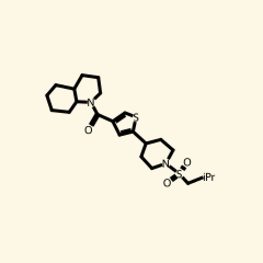 CC(C)CS(=O)(=O)N1CCC(c2cc(C(=O)N3CCCC4CCCCC43)cs2)CC1